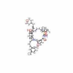 C[C@@H]1[C@@H](C)C/C=C/[C@](O)(C#CCC2CCOCC2)[C@@H]2CC[C@H]2CN2CCCCc3cc(Cl)ccc3COc3ccc(cc32)C(=O)NS1(=O)=O